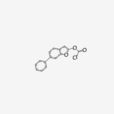 O=C(Cl)Oc1cc2ccc(-c3ccccc3)cc2o1